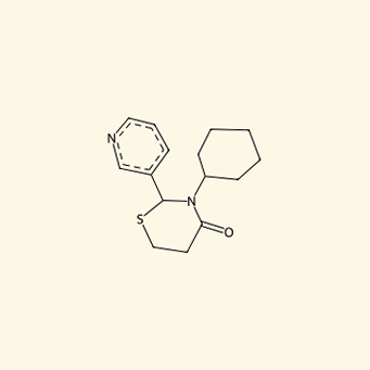 O=C1CCSC(c2cccnc2)N1C1CCCCC1